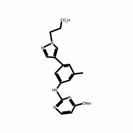 COc1ccnc(Nc2cc(C)cc(-c3cnn(CCC(=O)O)c3)c2)n1